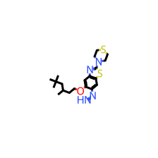 CC(CCOc1cc2nc(N3CCSCC3)sc2cc1N=N)CC(C)(C)C